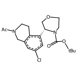 CC(=O)N1CCc2c(cc(Cl)cc2[C@@H]2COCCN2C(=O)OC(C)(C)C)C1